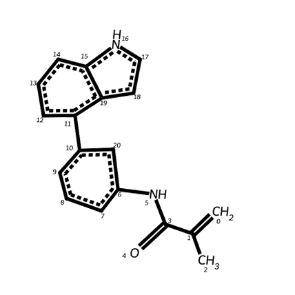 C=C(C)C(=O)Nc1cccc(-c2cccc3[nH]ccc23)c1